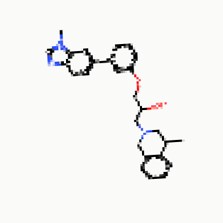 CC1CN(CC(O)COc2cccc(-c3ccc4ncn(C)c4c3)c2)Cc2ccccc21